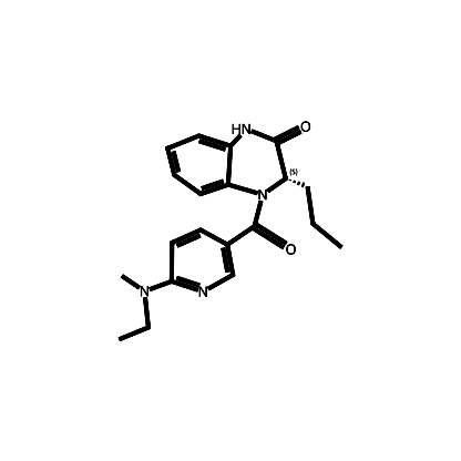 CCC[C@H]1C(=O)Nc2ccccc2N1C(=O)c1ccc(N(C)CC)nc1